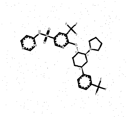 O=S(=O)(Nc1ccncn1)c1cnc(O[C@H]2CC[C@H](c3cccc(C(F)(F)F)c3)C[C@@H]2N2CCCC2)c(C(F)(F)F)c1